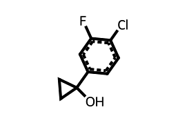 OC1(c2ccc(Cl)c(F)c2)CC1